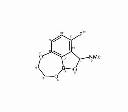 CNC1OB2OCCOc3ccc(F)c1c32